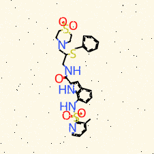 Cc1cccnc1S(=O)(=O)Nc1cccc2cc(C(=O)NCC(CN3CCS(=O)(=O)CC3)SCc3ccccc3)[nH]c12